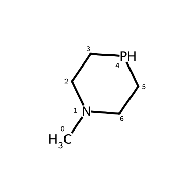 CN1CCPCC1